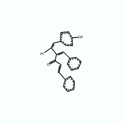 CC(=O)C(=Cc1ccc(O)cc1)C(=Cc1ccccc1)C(=O)C=Cc1ccccc1